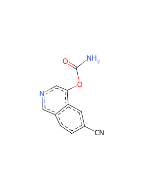 N#Cc1ccc2cncc(OC(N)=O)c2c1